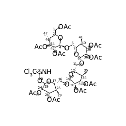 CC(=O)OC[C@H]1O[C@@H](OC[C@H]2O[C@@H](OC[C@H]3O[C@@H](OC[C@H]4OC(OC(=N)C(Cl)(Cl)Cl)[C@H](OC(C)=O)[C@@H](OC(C)=O)[C@@H]4C)[C@H](OC(C)=O)[C@@H](OC(C)=O)[C@@H]3C)[C@H](OC(C)=O)[C@@H](OC(C)=O)[C@@H]2C)[C@H](OC(C)=O)[C@@H](OC(C)=O)[C@@H]1C